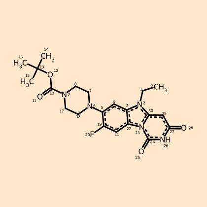 CCn1c2cc(N3CCN(C(=O)OC(C)(C)C)CC3)c(F)cc2n2c(=O)[nH]c(=O)cc12